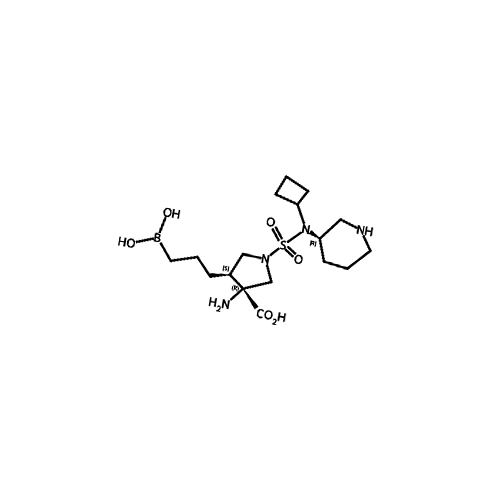 N[C@@]1(C(=O)O)CN(S(=O)(=O)N(C2CCC2)[C@@H]2CCCNC2)C[C@@H]1CCCB(O)O